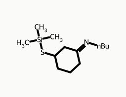 CCCC/N=C1\CCCC(S[Si](C)(C)C)C1